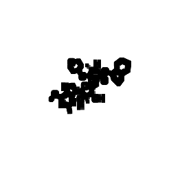 COc1nc(C)nc2c1ncn2C1O[C@H](COP(=O)(N[C@@H](C)C(=O)OC2CCOCC2)Oc2cccc3ccccc23)[C@@H](O)[C@@]1(C)O